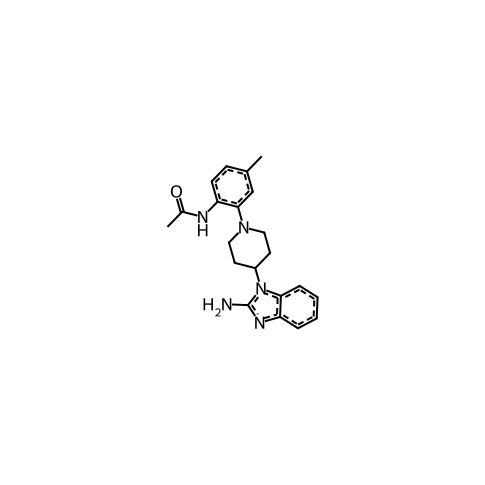 CC(=O)Nc1ccc(C)cc1N1CCC(n2c(N)nc3ccccc32)CC1